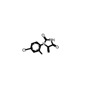 C=C1C(=O)NC(=O)N1c1ccc(Cl)cc1C